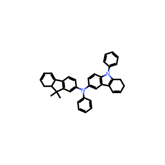 CC1(C)c2cc(N(c3ccccc3)c3ccc4c(c3)c3c(n4-c4ccccc4)CCC=C3)ccc2C2=CC=CCC21